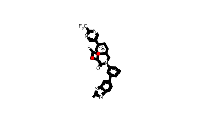 Cc1nc2ccc(-c3cccc(N(CC45CCC(c6cnc(C(F)(F)F)nc6)(CC4)OC5)C(=O)C45CC(F)(C4)C5)c3)cc2s1